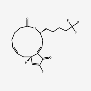 O=C1CCC/C=C\C[C@H]2C=C(F)C(=O)/C2=C/C[C@H](CCCCC(F)(F)F)O1